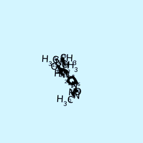 Cc1noc(N2CC3CC(N4C[C@@H]5C(C(=O)N(C)C(C)C)[C@@H]5C4)CC2C3)n1